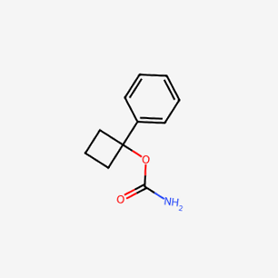 NC(=O)OC1(c2ccccc2)CCC1